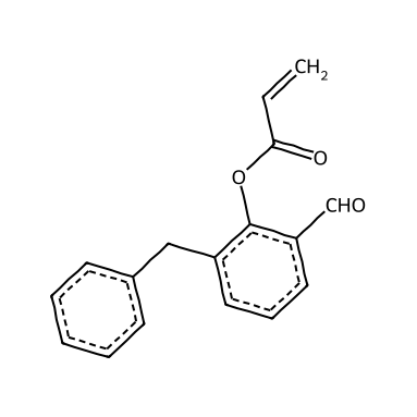 C=CC(=O)Oc1c(C=O)cccc1Cc1ccccc1